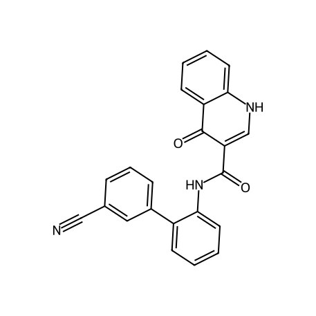 N#Cc1cccc(-c2ccccc2NC(=O)c2c[nH]c3ccccc3c2=O)c1